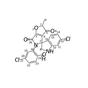 CC1OC2=C(C1=O)C1(CNc3cc(Cl)ccc31)N(c1cc(Cl)ccc1O)C2=O